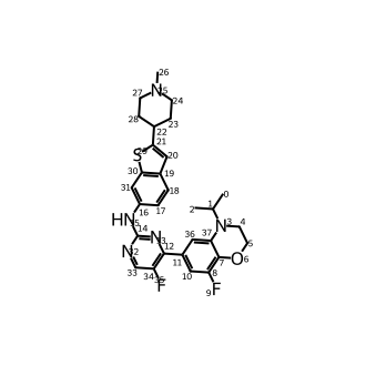 CC(C)N1CCOc2c(F)cc(-c3nc(Nc4ccc5cc(C6CCN(C)CC6)sc5c4)ncc3F)cc21